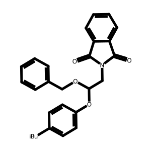 CCC(C)c1ccc(OC(CN2C(=O)c3ccccc3C2=O)OCc2ccccc2)cc1